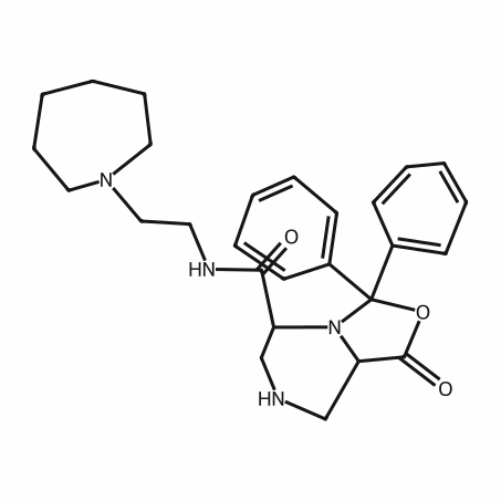 O=C(NCCN1CCCCCC1)C1CNCC2C(=O)OC(c3ccccc3)(c3ccccc3)N12